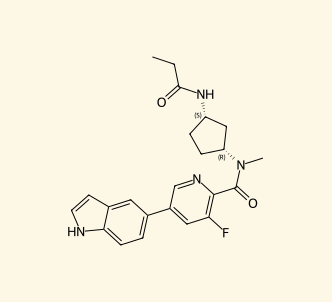 CCC(=O)N[C@H]1CC[C@@H](N(C)C(=O)c2ncc(-c3ccc4[nH]ccc4c3)cc2F)C1